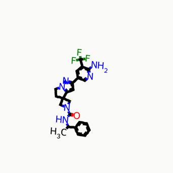 CC(NC(=O)N1CC2(CCn3nc(-c4cnc(N)c(C(F)(F)F)c4)cc32)C1)c1ccccc1